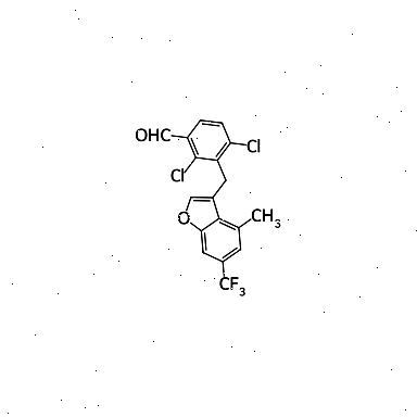 Cc1cc(C(F)(F)F)cc2occ(Cc3c(Cl)ccc(C=O)c3Cl)c12